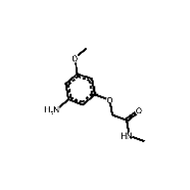 CNC(=O)COc1cc(N)cc(OC)c1